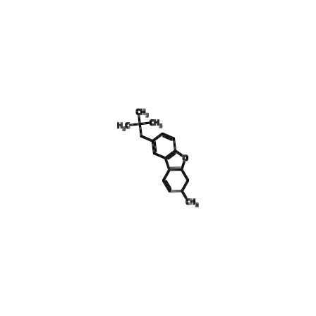 CC1C=Cc2c(oc3ccc(CC(C)(C)C)cc23)C1